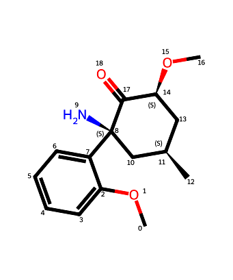 COc1ccccc1[C@@]1(N)C[C@H](C)C[C@H](OC)C1=O